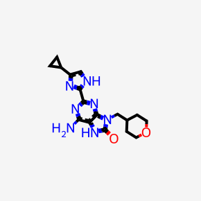 Nc1nc(-c2nc(C3CC3)c[nH]2)nc2c1[nH]c(=O)n2CC1CCOCC1